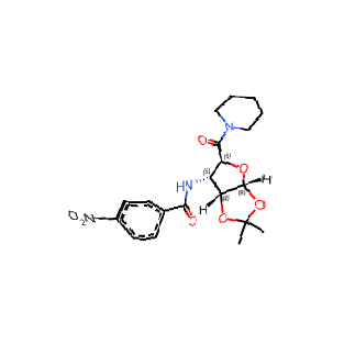 CC1(C)O[C@H]2O[C@H](C(=O)N3CCCCC3)[C@@H](NC(=O)c3ccc([N+](=O)[O-])cc3)[C@H]2O1